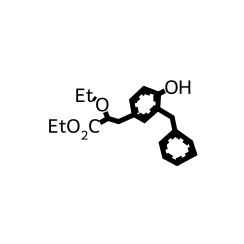 CCOC(=O)C(Cc1ccc(O)c(Cc2ccccc2)c1)OCC